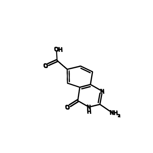 Nc1nc2ccc(C(=O)O)cc2c(=O)[nH]1